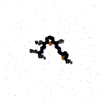 CCC/C(=C\C=C\c1ccc(C)s1)C1C=CC=C(C(C)/C=C/C=C(/C)SC)S1